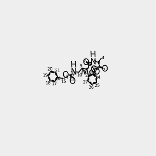 COC(=O)C(C)NP(=O)(CCCNC(=O)OCc1ccccc1)Oc1ccccc1